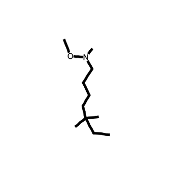 CCC(C)(C)CCCCN(C)OC